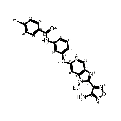 CCn1c(-c2nonc2N)nc2cnc(Oc3cccc(NC(=O)c4ccc(F)cc4)c3)cc21